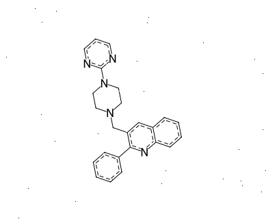 c1ccc(-c2nc3ccccc3cc2CN2CCN(c3ncccn3)CC2)cc1